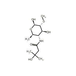 CO[C@@H]1[C@@H](O)[C@H](NC(=O)CC(C)(C)O)[C@@H](C)O[C@H]1O